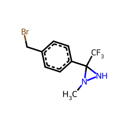 CN1NC1(c1ccc(CBr)cc1)C(F)(F)F